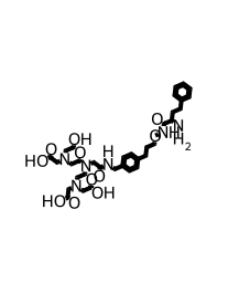 NC(CCc1ccccc1)C(=O)NOCCCc1ccc(CNC(=O)CN(CCN(CC(=O)O)CC(=O)O)CCN(CC(=O)O)CC(=O)O)cc1